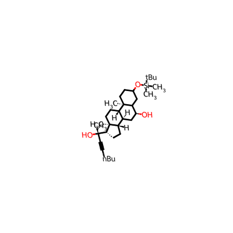 CCCCC#C[C@](C)(O)[C@H]1CC[C@H]2[C@@H]3C[C@H](O)C4CC(O[Si](C)(C)C(C)(C)C)CC[C@]4(C)[C@H]3CC[C@@]21C